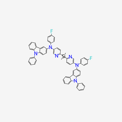 C[Si](C)(c1ccc(N(c2ccc(F)cc2)c2ccc3c(c2)c2ccccc2n3-c2ccccc2)cn1)c1ccc(N(c2ccc(F)cc2)c2ccc3c(c2)c2ccccc2n3-c2ccccc2)cn1